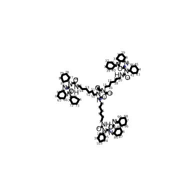 O=C(NCCCCCC/N=c1\oc(=O)n(CCCCCCNC(=O)N(/C(=N/C2CCCCC2)ON=C2CCCCC2)C2CCCCC2)c(=O)n1CCCCCCNC(=O)N(/C(=N/C1CCCCC1)ON=C1CCCCC1)C1CCCCC1)N(/C(=N/C1CCCCC1)OCN=C1CCCCC1)C1CCCCC1